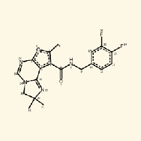 Cc1oc2c(c1C(=O)NCc1ccc(F)c(F)c1)C1=NC(C)(C)CN1C=N2